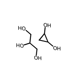 OC1CC1O.OCC(O)CO